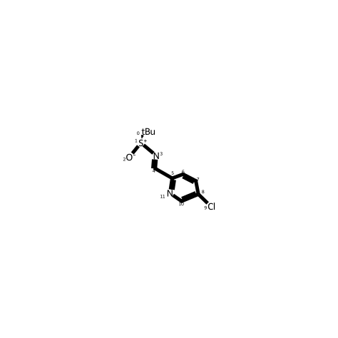 CC(C)(C)[S@@+]([O-])/N=C/c1ccc(Cl)cn1